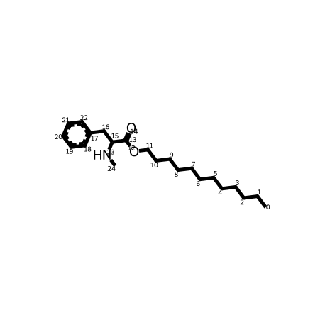 CCCCCCCCCCCCOC(=O)C(Cc1ccccc1)NC